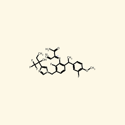 C=C/C(=N\c1c(C(C)c2ccc(OC)c(F)c2)ccc(Cn2cnc(C(O)(CC)C(F)(F)F)c2)c1F)C(N)=O